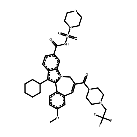 COc1ccc2c(c1)C=C(C(=O)N1CCN(CC(F)(F)F)CC1)Cn1c-2c(C2CCCCC2)c2ccc(C(=O)NS(=O)(=O)N3CCOCC3)cc21